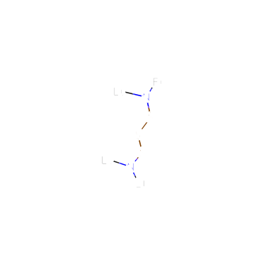 CCN(CC)SSSN(CC)CC